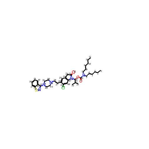 CCCCCCN(CCCCCC)C(=O)OC(C(C)C)N1C(=O)Cc2cc(CCN3CCN(c4nsc5ccccc45)CC3)c(Cl)cc21